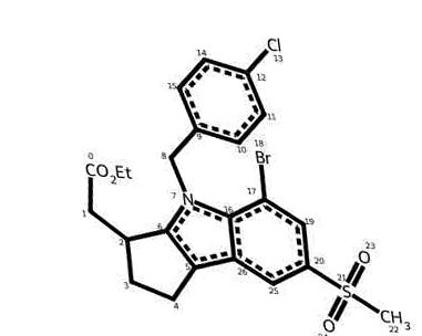 CCOC(=O)CC1CCc2c1n(Cc1ccc(Cl)cc1)c1c(Br)cc(S(C)(=O)=O)cc21